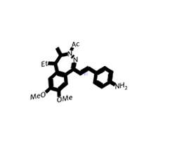 CCC1c2cc(OC)c(OC)cc2C(/C=C/c2ccc(N)cc2)=NN(C(C)=O)C1C